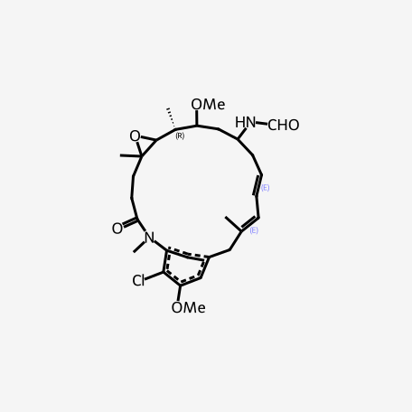 COc1cc2cc(c1Cl)N(C)C(=O)CCC1(C)OC1[C@H](C)C(OC)CC(NC=O)C/C=C/C=C(\C)C2